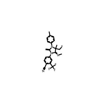 C=C1N(c2ccc(C#N)c(C(F)(F)F)c2)/C(=N/C)C(C)(CF)N1c1ccc(C)cc1